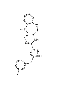 Cc1cccc(Cc2cc(C(=O)N[C@H]3COc4ccccc4N(C)C3=O)n[nH]2)c1